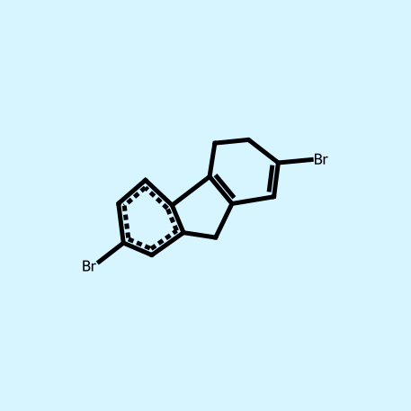 BrC1=CC2=C(CC1)c1ccc(Br)cc1C2